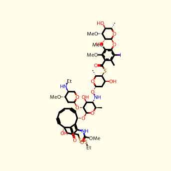 CCN[C@H]1CO[C@@H](O[C@H]2[C@H](O[C@H]3C#C/C=C\C#C[C@]4(O)CC(=O)C(NC(=O)OC)=C3/C4=C\CSSCC)O[C@H](C)[C@@H](NO[C@H]3C[C@H](O)[C@H](SC(=O)c4c(C)c(I)c(O[C@@H]5O[C@@H](C)[C@H](O)[C@@H](OC)[C@H]5O)c(OC)c4OC)[C@@H](C)O3)[C@@H]2O)C[C@@H]1OC